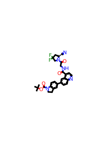 CC(C)(C)OC(=O)N1CCc2cc(-c3ccc4nccc(C(=O)NCC(=O)N5CC(F)(F)C[C@H]5C#N)c4c3)ccc21